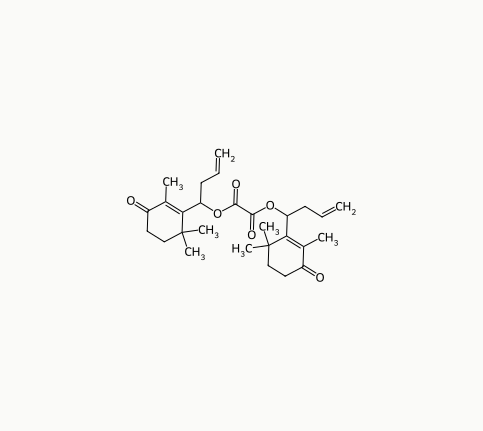 C=CCC(OC(=O)C(=O)OC(CC=C)C1=C(C)C(=O)CCC1(C)C)C1=C(C)C(=O)CCC1(C)C